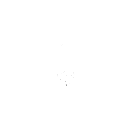 O=C(CCCCCCCCCCBr)OC(Cn1cncn1)(Cn1cncn1)c1ccc(F)cc1F